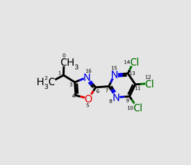 CC(C)c1coc(-c2nc(Cl)c(Cl)c(Cl)n2)n1